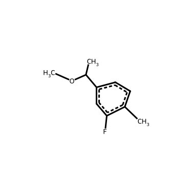 COC(C)c1ccc(C)c(F)c1